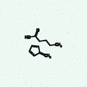 C=C1C=CC=C1.CCCCC(=O)O